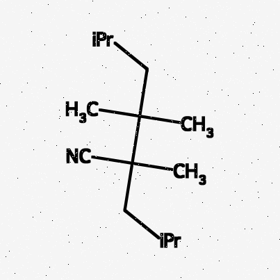 CC(C)CC(C)(C)C(C)(C#N)CC(C)C